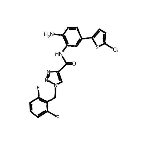 Nc1ccc(-c2ccc(Cl)s2)cc1NC(=O)c1cn(Cc2c(F)cccc2F)nn1